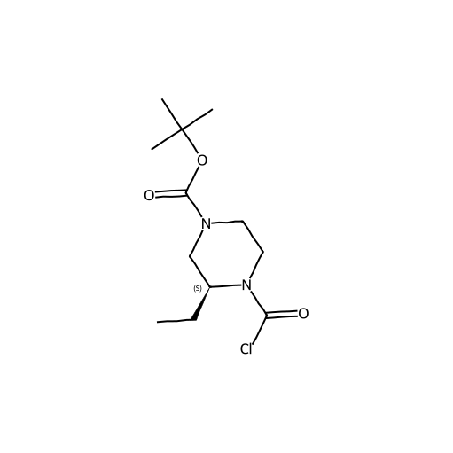 CC[C@H]1CN(C(=O)OC(C)(C)C)CCN1C(=O)Cl